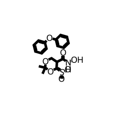 CC1(C)OCC(C(=O)NO)C(=S(=O)=O)O1.c1ccc(Oc2ccccc2)cc1